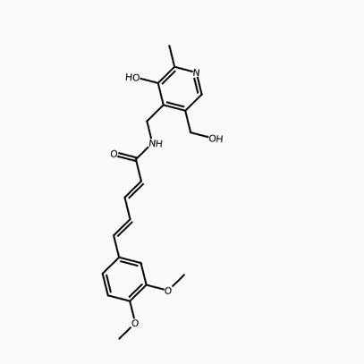 COc1ccc(C=CC=CC(=O)NCc2c(CO)cnc(C)c2O)cc1OC